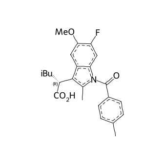 CCC(C)[C@@H](C(=O)O)c1c(C)n(C(=O)c2ccc(C)cc2)c2cc(F)c(OC)cc12